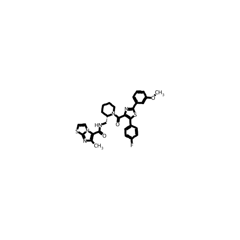 COc1cccc(-c2nc(C(=O)N3CCCC[C@H]3CNC(=O)c3c(C)nc4sccn34)c(-c3ccc(F)cc3)s2)c1